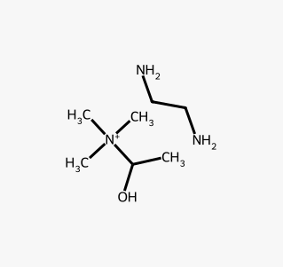 CC(O)[N+](C)(C)C.NCCN